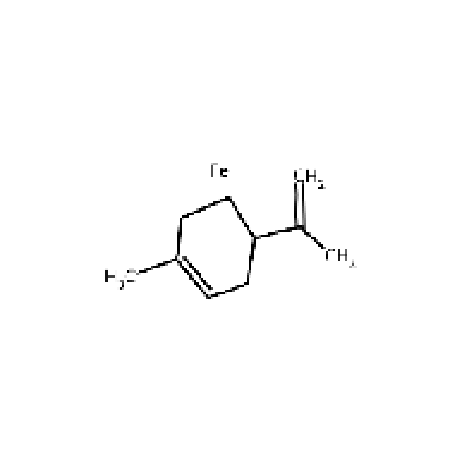 C=C(C)C1CC=C(C)CC1.[Fe]